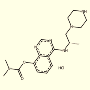 C[C@@H](CN1CCNCC1)Nc1ncnc2c(OC(=O)N(C)C)cccc12.Cl